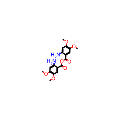 COc1cc(N)c(C(=O)OC(=O)c2cc(OC)c(OC)cc2N)cc1OC